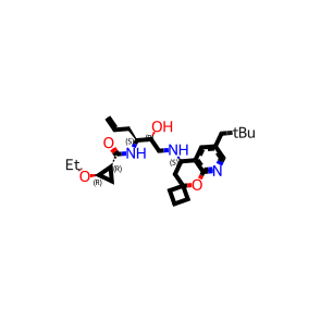 C=CC[C@H](NC(=O)[C@@H]1C[C@H]1OCC)[C@H](O)CN[C@H]1CC2(CCC2)Oc2ncc(CC(C)(C)C)cc21